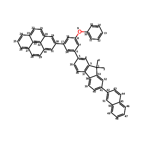 CC1(C)c2cc(-c3cc(Oc4ccccc4)cc(-c4cc5ccc6cccc7ccc(c4)c5c67)c3)ccc2-c2ccc(-c3ccc4ccccc4c3)cc21